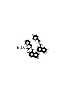 CCOC(=O)C(=O)N(Cc1ccccn1)Cc1cccc2ccccc12.c1ccc(CNCc2cccc3ccccc23)nc1